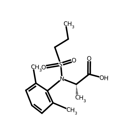 CCCS(=O)(=O)N(c1c(C)cccc1C)[C@@H](C)C(=O)O